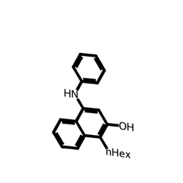 CCCCCCc1c(O)cc(Nc2ccccc2)c2ccccc12